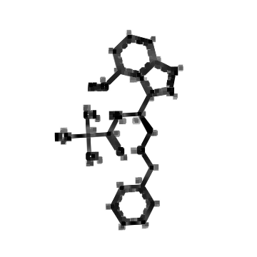 COc1cccc2nnc([C@@H](COCc3ccccc3)NC(=O)C(C)(C)N)n12